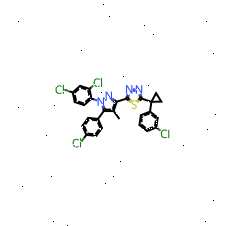 Cc1c(-c2nnc(C3(c4cccc(Cl)c4)CC3)s2)nn(-c2ccc(Cl)cc2Cl)c1-c1ccc(Cl)cc1